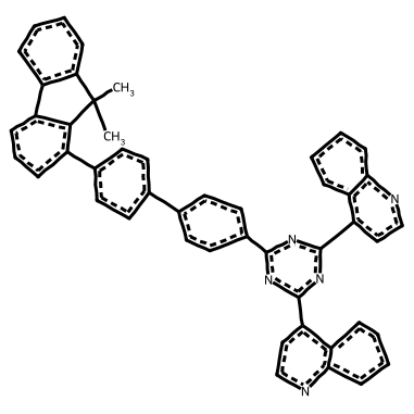 CC1(C)c2ccccc2-c2cccc(-c3ccc(-c4ccc(-c5nc(-c6ccnc7ccccc67)nc(-c6ccnc7ccccc67)n5)cc4)cc3)c21